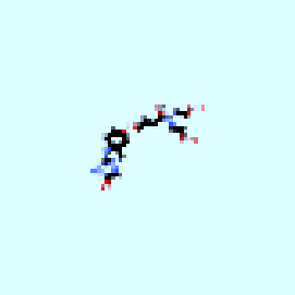 O=C1CN2Cc3cc(OCCCC(=O)N(CCO)CCO)ccc3N=C2N1